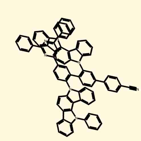 N#Cc1ccc(-c2ccc(-c3cc(-c4nc(-c5ccccc5)nc(-c5ccccc5)n4)ccc3-n3c4ccccc4c4c3ccc3c5ccccc5n(-c5ccccc5)c34)c(-n3c4ccccc4c4c3ccc3c5ccccc5n(-c5ccccc5)c34)c2)cc1